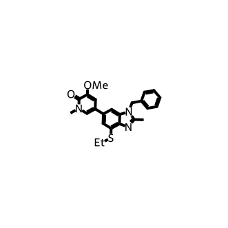 CCSc1cc(-c2cc(OC)c(=O)n(C)c2)cc2c1nc(C)n2Cc1ccccc1